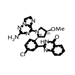 CO[C@H]1C[C@@H](c2ccc(Cl)cc2-c2nc3ccccc3c(=O)[nH]2)N(c2nc(N)nn3ccnc23)C1